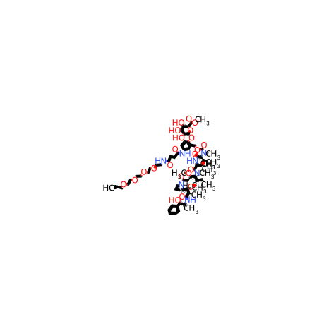 C#CCOCCOCCOCCOCCNC(=O)CCC(=O)Nc1ccc(O[C@@H]2OC(C(=O)OC)[C@@H](O)[C@H](O)C2O)c(COC(=O)N(C)[C@H](C(=O)N[C@H](C(=O)N(C)[C@@H]([C@@H](C)CC)[C@@H](CC(=O)N2CCC[C@H]2[C@H](OC)[C@@H](C)C(=O)N[C@H](C)[C@@H](O)c2ccccc2)OC)C(C)C)C(C)C)c1